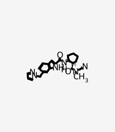 CN(C#N)C(=O)[C@@H]1CCCC[C@@H]1NC(=O)c1cc2ccc(Cn3cccn3)cc2[nH]1